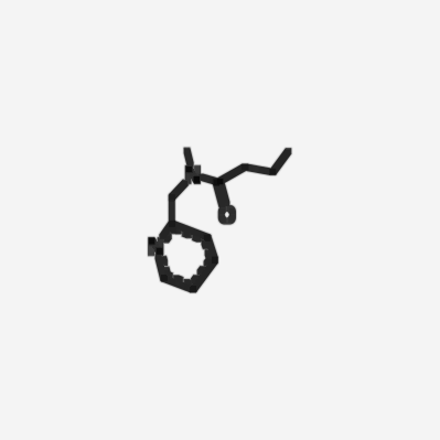 CCCC(=O)N(C)Cc1ccccn1